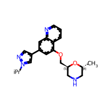 CC(C)n1cc(-c2cc(OC[C@@H]3CNC[C@@H](C)O3)c3cccnc3c2)cn1